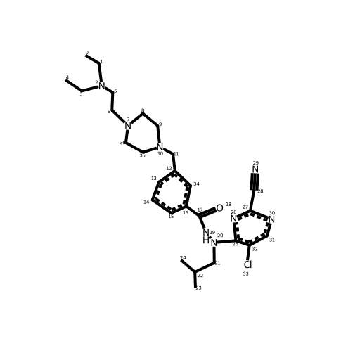 CCN(CC)CCN1CCN(Cc2cccc(C(=O)NN(CC(C)C)c3nc(C#N)ncc3Cl)c2)CC1